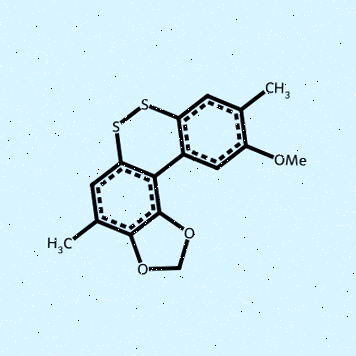 COc1cc2c(cc1C)SSc1cc(C)c3c(c1-2)OCO3